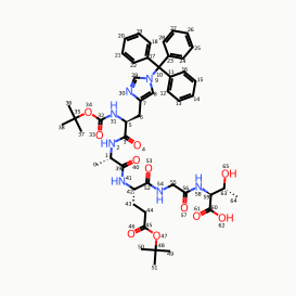 C[C@H](NC(=O)[C@H](Cc1cn(C(c2ccccc2)(c2ccccc2)c2ccccc2)cn1)NC(=O)OC(C)(C)C)C(=O)N[C@@H](CCC(=O)OC(C)(C)C)C(=O)NCC(=O)N[C@H](C(=O)O)[C@@H](C)O